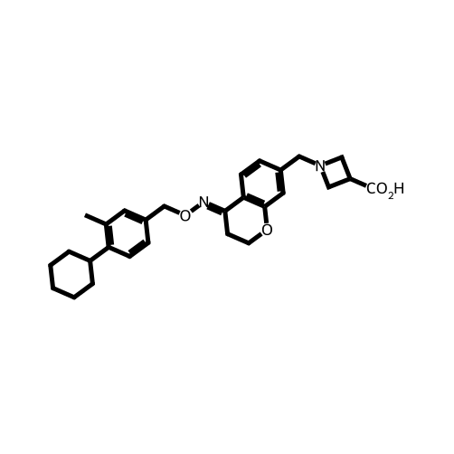 Cc1cc(CON=C2CCOc3cc(CN4CC(C(=O)O)C4)ccc32)ccc1C1CCCCC1